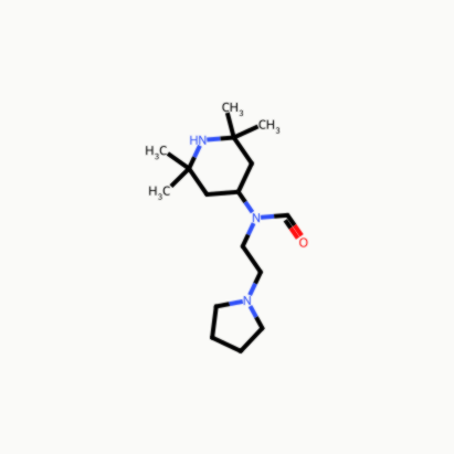 CC1(C)CC(N(C=O)CCN2CCCC2)CC(C)(C)N1